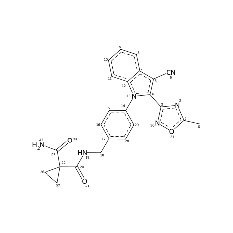 Cc1nc(-c2c(C#N)c3ccccc3n2-c2ccc(CNC(=O)C3(C(N)=O)CC3)cc2)no1